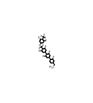 CCc1ccc(-c2cc(F)c(-c3cc(F)c(C(F)(F)Oc4cc(F)c(C(F)(F)F)c(F)c4)c(F)c3)c(F)c2)c(F)c1